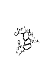 Cc1c(CC(N)C(=O)O)c2c([N+](=O)[O-])c(N)ccc2n1C